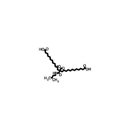 CC(C)CCNC(=O)C(CCCCCCCCCCCC(=O)O)(CCCCCCCCCCCC(=O)O)C(=O)O